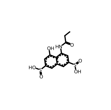 CCC(=O)Nc1cc(S(=O)O)cc2cc(S(=O)O)cc(O)c12